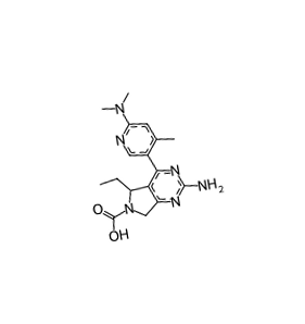 CCC1c2c(nc(N)nc2-c2cnc(N(C)C)cc2C)CN1C(=O)O